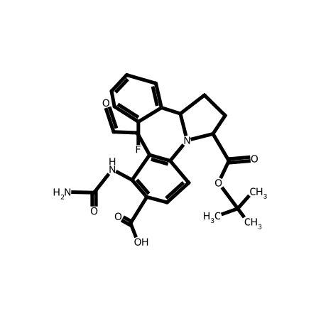 CC(C)(C)OC(=O)C1CCC(c2ccccc2F)N1c1ccc(C(=O)O)c(NC(N)=O)c1CC=O